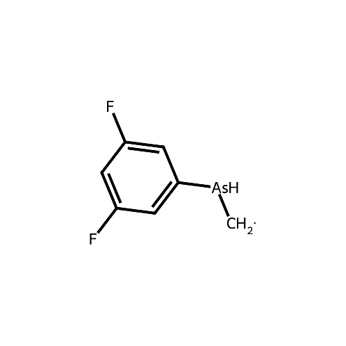 [CH2][AsH]c1cc(F)cc(F)c1